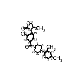 Cc1cnc(N2CCN(C(=O)c3ccc(N4C(=O)OCC4C)c(Cl)c3)CC2)c(C)c1